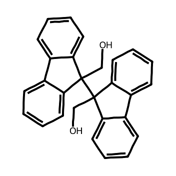 OCC1(C2(CO)c3ccccc3-c3ccccc32)c2ccccc2-c2ccccc21